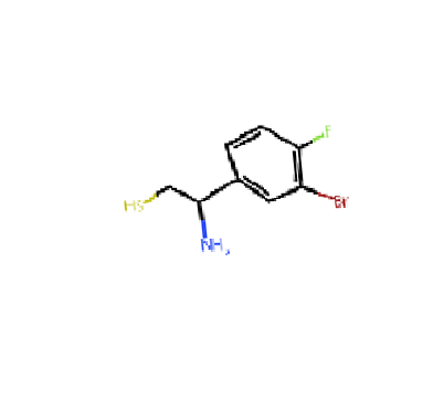 NC(CS)c1ccc(F)c(Br)c1